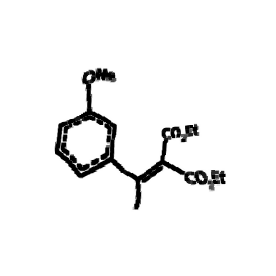 CCOC(=O)C(C(=O)OCC)=C(C)c1cccc(OC)c1